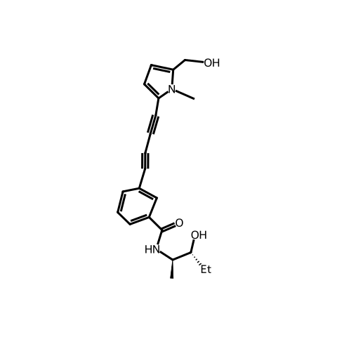 CC[C@@H](O)[C@@H](C)NC(=O)c1cccc(C#CC#Cc2ccc(CO)n2C)c1